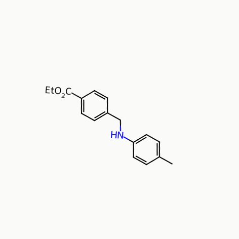 CCOC(=O)c1ccc(CNc2ccc(C)cc2)cc1